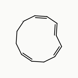 [CH]1\C=C/C=C/C=C\C/C=C\CC1